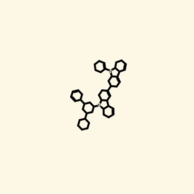 C1=CCC(C2CC(C3CCCCC3)CC(N3C4CCC=CC4C4C=C(C5CC=C6C7C=CCCC7N(C7=CCCCC7)C6C5)CCC43)C2)C=C1